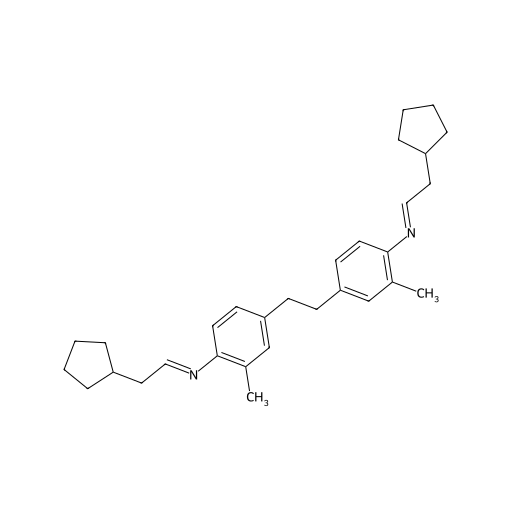 Cc1cc(CCc2ccc(N=CCC3CCCC3)c(C)c2)ccc1N=CCC1CCCC1